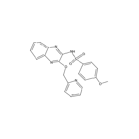 COc1ccc(S(=O)(=O)Nc2nc3ccccc3nc2OCc2ccccn2)cc1